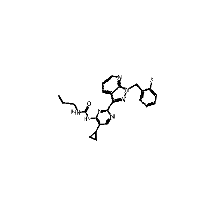 CCCNC(=O)Nc1nc(-c2nn(Cc3ccccc3F)c3ncccc23)ncc1C1CC1